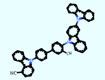 N#Cc1cc(-c2ccc(-n3c4ccccc4c4c(C#N)cccc43)cc2)ccc1-n1c2ccccc2c2cc(-n3c4ccccc4c4ccccc43)ccc21